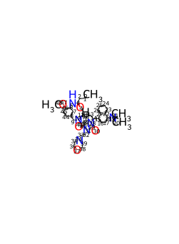 CCCC(=O)Nc1cc(CN2C[C@H]3CC(c4ccc(N(C)C)c5ccccc45)N4C(=O)N(CCN5CCOCC5)C(=O)[C@@]34C2)ccc1OC